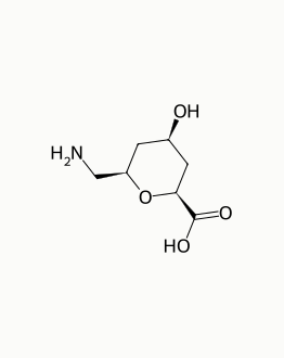 NC[C@H]1C[C@@H](O)C[C@@H](C(=O)O)O1